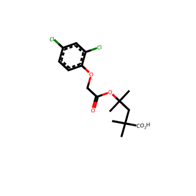 CC(C)(CC(C)(C)C(=O)O)OC(=O)COc1ccc(Cl)cc1Cl